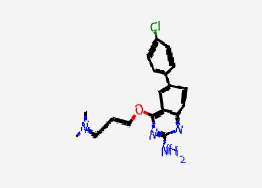 CN(C)CCCOc1nc(N)nc2ccc(-c3ccc(Cl)cc3)cc12